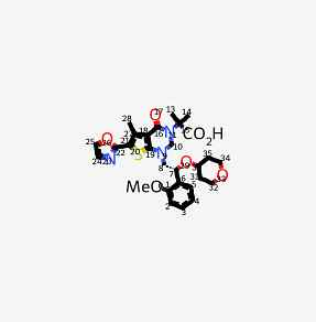 COc1ccccc1[C@H](CN1CN(C(C)(C)C(=O)O)C(=O)c2c1sc(-c1ncco1)c2C)OC1CCOCC1